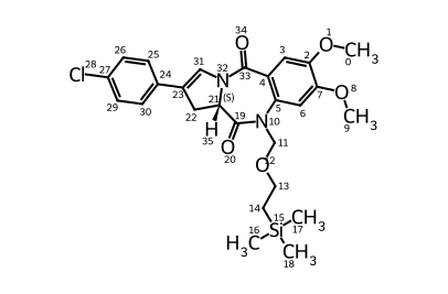 COc1cc2c(cc1OC)N(COCC[Si](C)(C)C)C(=O)[C@@H]1CC(c3ccc(Cl)cc3)=CN1C2=O